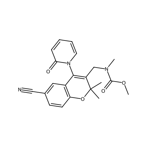 COC(=O)N(C)CC1=C(n2ccccc2=O)c2cc(C#N)ccc2OC1(C)C